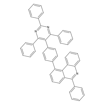 c1ccc(-c2nc(-c3ccccc3)c(-c3ccc(-c4cccc5c(-c6ccccc6)nc6ccccc6c45)cc3)c(-c3ccccc3)n2)cc1